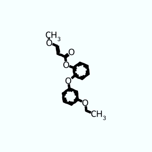 CCOc1cccc(Oc2ccccc2OC(=O)C=COC)c1